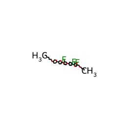 CCCCCCCC1CCC(C2CC=C(c3ccc(-c4ccc(-c5ccc(CCCCCC)c(F)c5F)cc4)cc3F)CC2)CC1